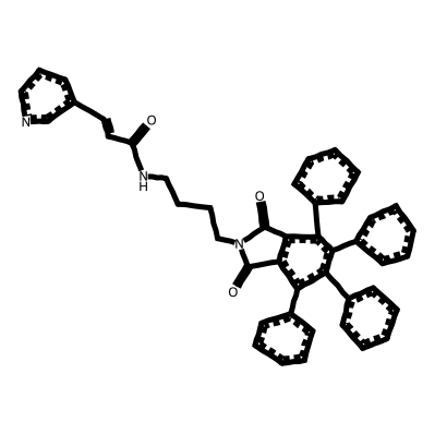 O=C(C=Cc1cccnc1)NCCCCN1C(=O)c2c(c(-c3ccccc3)c(-c3ccccc3)c(-c3ccccc3)c2-c2ccccc2)C1=O